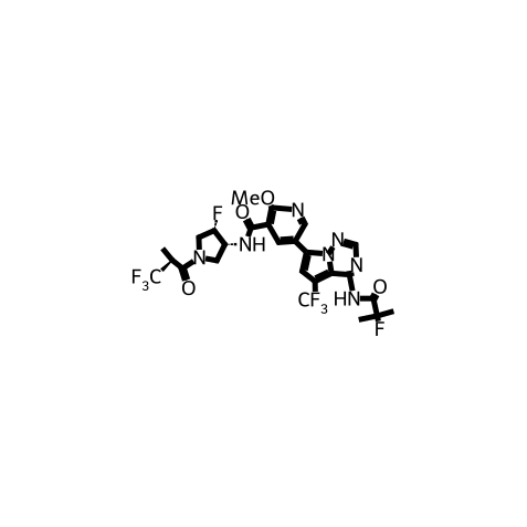 COc1ncc(-c2cc(C(F)(F)F)c3c(NC(=O)C(C)(C)F)ncnn23)cc1C(=O)N[C@@H]1CN(C(=O)[C@H](C)C(F)(F)F)C[C@@H]1F